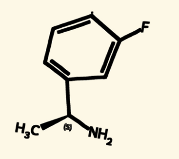 C[C@H](N)c1cc[c]c(F)c1